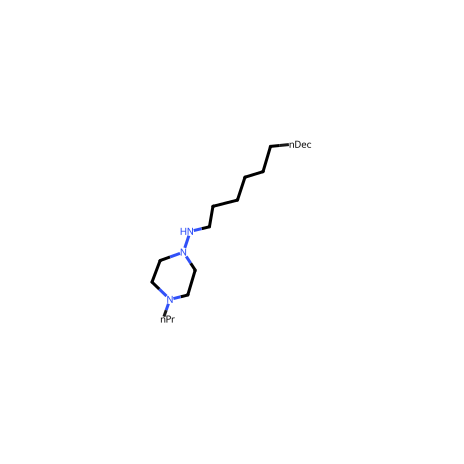 CCCCCCCCCCCCCCCCNN1CCN(CCC)CC1